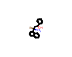 NC(Br)(CC(O)c1ccccc1)c1cccc2ccccc12